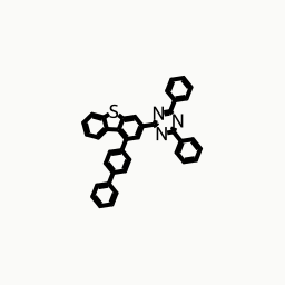 c1ccc(-c2ccc(-c3cc(-c4nc(-c5ccccc5)nc(-c5ccccc5)n4)cc4sc5ccccc5c34)cc2)cc1